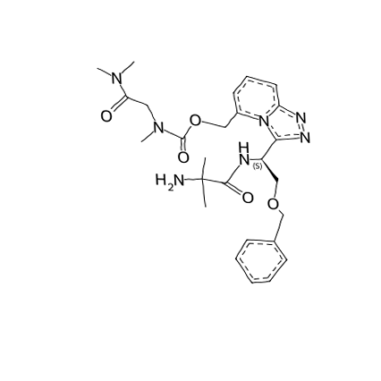 CN(C)C(=O)CN(C)C(=O)OCc1cccc2nnc([C@@H](COCc3ccccc3)NC(=O)C(C)(C)N)n12